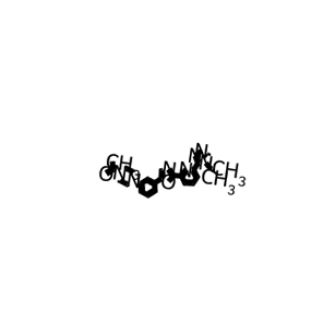 CC(=O)N1CCN(c2cccc(-c3cnc(-c4cccc(-c5nncn5C(C)C)n4)o3)c2)CC1